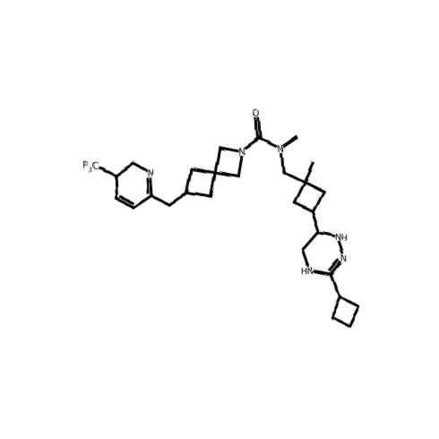 CN(CC1(C)CC(C2CNC(C3CCC3)=NN2)C1)C(=O)N1CC2(CC(CC3=NCC(C(F)(F)F)C=C3)C2)C1